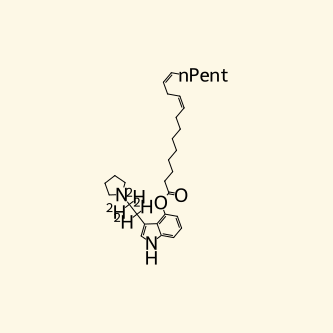 [2H]C([2H])(c1c[nH]c2cccc(OC(=O)CCCCCCC/C=C\C/C=C\CCCCC)c12)C([2H])([2H])N1CCCC1